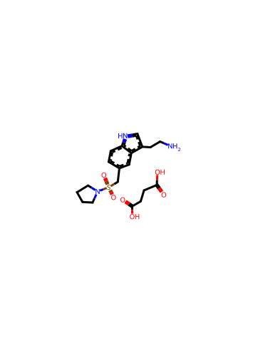 NCCc1c[nH]c2ccc(CS(=O)(=O)N3CCCC3)cc12.O=C(O)CCC(=O)O